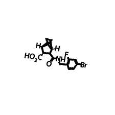 O=C(NCc1ccc(Br)cc1F)C1[C@H](C(=O)O)[C@H]2C=C[C@@H]1C21CC1